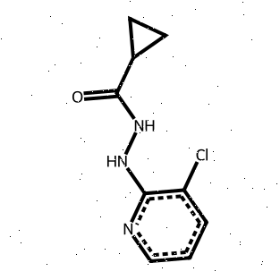 O=C(NNc1ncccc1Cl)C1CC1